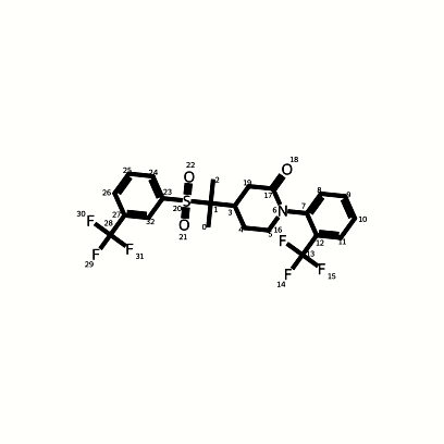 CC(C)(C1CCN(c2ccccc2C(F)(F)F)C(=O)C1)S(=O)(=O)c1cccc(C(F)(F)F)c1